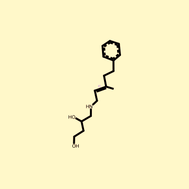 C/C(=C\CNCC(O)CCO)CCc1ccccc1